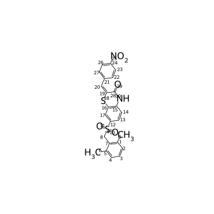 Cc1cccc(C)c1CS(=O)(=O)c1ccc2c(c1)S/C(=C/c1ccc([N+](=O)[O-])cc1)C(=O)N2